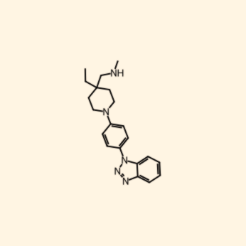 CCC1(CNC)CCN(c2ccc(-n3nnc4ccccc43)cc2)CC1